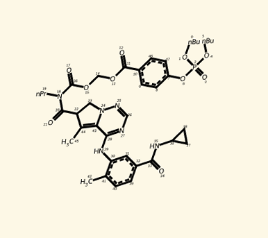 CCCCOP(=O)(OCCCC)Oc1ccc(C(=O)OCOC(=O)N(CCC)C(=O)C2CN3N=CN=C(Nc4cc(C(=O)NC5CC5)ccc4C)C3=C2C)cc1